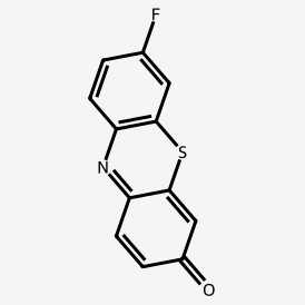 O=c1ccc2nc3ccc(F)cc3sc-2c1